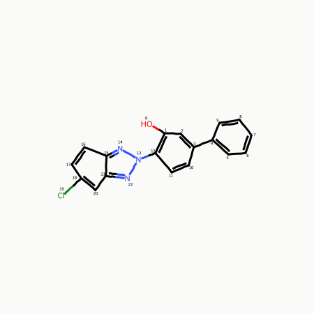 Oc1cc(-c2ccccc2)ccc1-n1nc2ccc(Cl)cc2n1